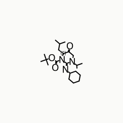 CC(C)C[C@H]1C(=O)CN(C(C)C)C(=NC2CCCCC2)N1C(=O)OC(C)(C)C